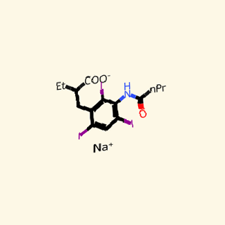 CCCC(=O)Nc1c(I)cc(I)c(CC(CC)C(=O)[O-])c1I.[Na+]